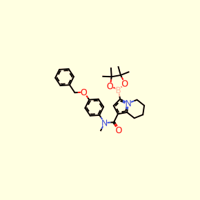 CN(C(=O)c1cc(B2OC(C)(C)C(C)(C)O2)n2c1CCCC2)c1ccc(OCc2ccccc2)cc1